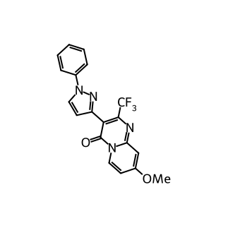 COc1ccn2c(=O)c(-c3ccn(-c4ccccc4)n3)c(C(F)(F)F)nc2c1